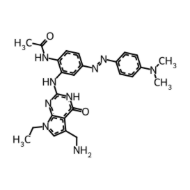 CCn1cc(CN)c2c(=O)[nH]c(Nc3cc(/N=N/c4ccc(N(C)C)cc4)ccc3NC(C)=O)nc21